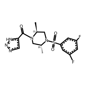 C[C@@H]1CN(C(=O)c2cnn[nH]2)[C@@H](C)CN1S(=O)(=O)c1cc(F)cc(F)c1